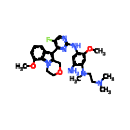 COc1cc(N(C)CCN(C)C)c(N)cc1Nc1ncc(F)c(-c2c3n(c4c(OC)cccc24)CCOC3)n1